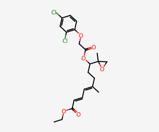 CCOC(=O)C=CC=C(C)CCC(OC(=O)COc1ccc(Cl)cc1Cl)C1(C)CO1